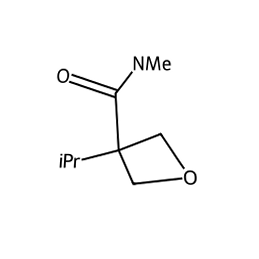 CNC(=O)C1(C(C)C)COC1